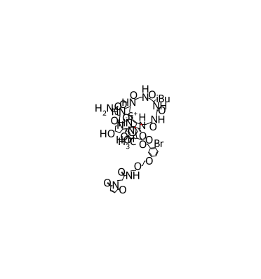 CC[C@H](C)[C@@H]1NC(=O)CNC(=O)C2Cc3c([nH]c4cc(O)ccc34)[S@+]([O-])CC(NC(=O)CNC1=O)C(=O)NC(CC(N)=O)C(=O)N1CC(O)CC1C(=O)N[C@@H]([C@@H](C)[C@@H]1COC(c3cc(OCCOCCNC(=O)CCN4C(=O)C=CC4=O)ccc3Br)O1)C(=O)N2